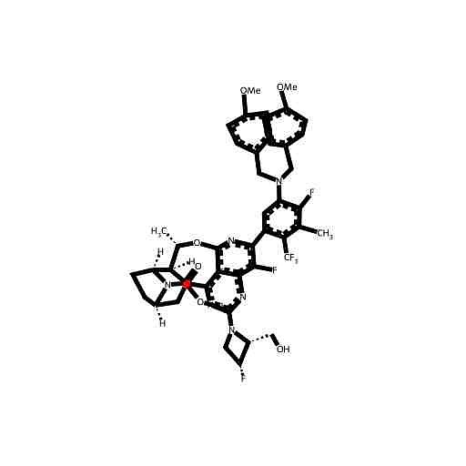 COc1ccc(CN(Cc2ccc(OC)cc2)c2cc(-c3nc4c5c(nc(N6C[C@@H](F)[C@H]6CO)nc5c3F)N3C[C@H]5CC[C@@H]([C@H]3[C@H](C)O4)N5C(=O)OC(C)(C)C)c(C(F)(F)F)c(C)c2F)cc1